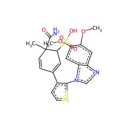 COc1cc2ncn(-c3sccc3C3=CC(S(=O)(=O)O)C(C)(C(N)=O)C=C3)c2cc1OC